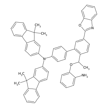 CC(Oc1ccccc1N)c1ccc(-c2nc3ccccc3o2)cc1-c1ccc(N(c2ccc3c(c2)C(C)(C)c2ccccc2-3)c2ccc3c(c2)C(C)(C)c2ccccc2-3)cc1